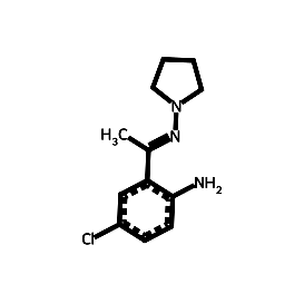 C/C(=N\N1CCCC1)c1cc(Cl)ccc1N